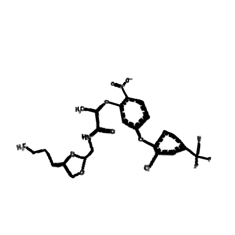 CCCCC1COC(CNC(=O)C(C)Oc2cc(Oc3ccc(C(F)(F)F)cc3Cl)ccc2[N+](=O)[O-])O1